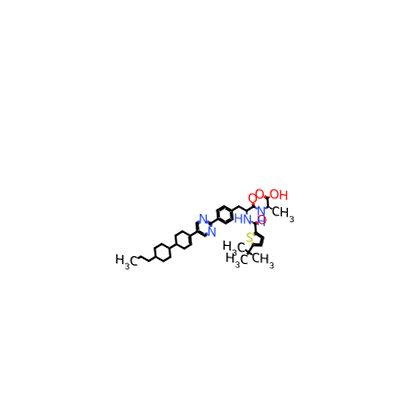 CCCC1CCC(C2CC=C(c3cnc(-c4ccc(CC(NC(=O)c5ccc(C(C)(C)C)s5)C(=O)N[C@H](C)C(=O)O)cc4)nc3)CC2)CC1